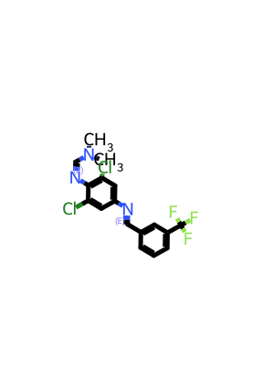 CN(C)/C=N\c1c(Cl)cc(/N=C/c2cccc(C(F)(F)F)c2)cc1Cl